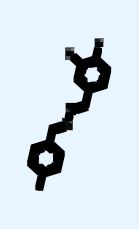 Cc1ccc(C=NN=Cc2ccc(F)c(F)c2)cc1